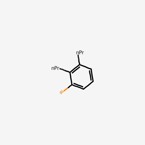 CCCc1cccc([P])c1CCC